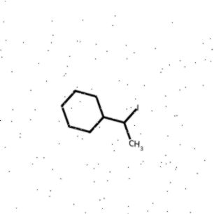 CC(I)[C]1CCCCC1